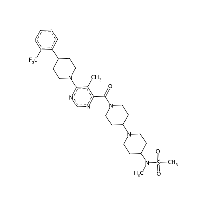 Cc1c(C(=O)N2CCC(N3CCC(N(C)S(C)(=O)=O)CC3)CC2)ncnc1N1CCC(c2ccccc2C(F)(F)F)CC1